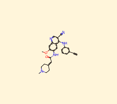 C#Cc1cccc(Nc2c(C#N)cnc3cc(OC)c(NC(=O)C=C4CCN(C)CC4)cc23)c1